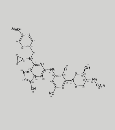 COc1ccc(CN(c2nc(Nc3cc(C#N)cc(N4CC[C@@H](NC(=O)O)[C@H](O)C4)c3Cl)nn3c(C#N)cnc23)C2CC2)cc1